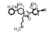 COCCCN1C(=O)N(c2cnc(C#N)nc2OC)C[C@]12CC[C@@](c1ccccc1)(N(C)C)CC2